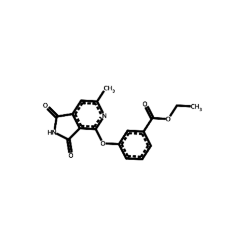 CCOC(=O)c1cccc(Oc2nc(C)cc3c2C(=O)NC3=O)c1